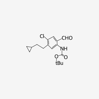 CC(C)(C)OC(=O)Nc1cc(CCC2CC2)c(Cl)cc1C=O